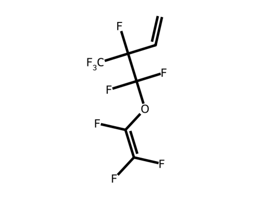 C=CC(F)(C(F)(F)F)C(F)(F)OC(F)=C(F)F